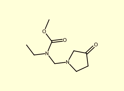 CCN(CN1CCC(=O)C1)C(=O)OC